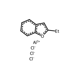 CCc1cc2ccccc2o1.[Al+3].[Cl-].[Cl-].[Cl-]